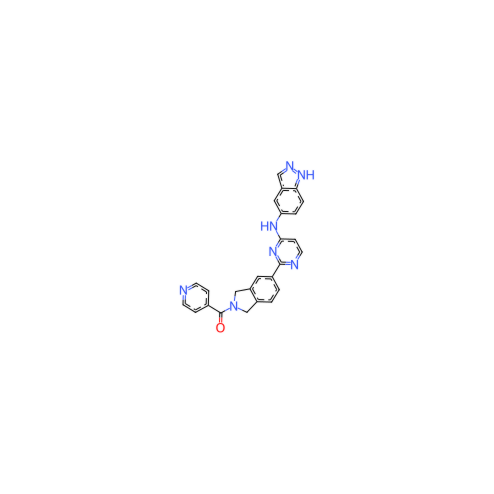 O=C(c1ccncc1)N1Cc2ccc(-c3nccc(Nc4ccc5[nH]ncc5c4)n3)cc2C1